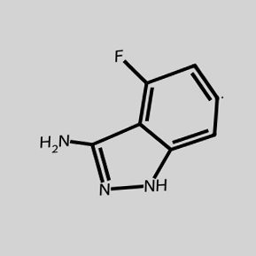 Nc1n[nH]c2c[c]cc(F)c12